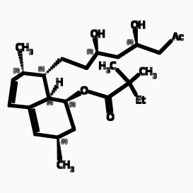 CCC(C)(C)C(=O)O[C@H]1C[C@@H](C)C=C2C=C[C@H](C)[C@H](CC[C@@H](O)C[C@@H](O)CC(C)=O)[C@H]21